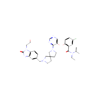 CCN(C(=O)c1cc(F)ccc1Oc1cncnc1N1CCC2(CCN(Cc3ccc4c(c3)[nH]c(=O)n4CCO)C2)C1)C(C)C